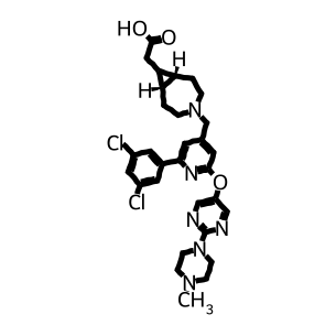 CN1CCN(c2ncc(Oc3cc(CN4CC[C@@H]5C(CC(=O)O)[C@@H]5CC4)cc(-c4cc(Cl)cc(Cl)c4)n3)cn2)CC1